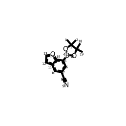 CC1(C)OB(c2cc(C#N)cc3ccoc23)OC1(C)C